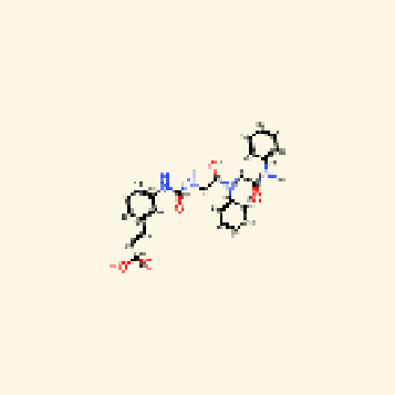 CN(C(=O)CN(C(=O)CNC(=O)Nc1cccc(C=CC(=O)O)c1)c1ccccc1)c1ccccc1